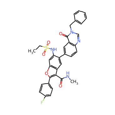 CCS(=O)(=O)Nc1cc2oc(-c3ccc(F)cc3)c(C(=O)NC)c2cc1-c1ccc2ncn(Cc3ccccc3)c(=O)c2c1